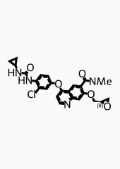 CNC(=O)c1cc2c(Oc3ccc(NC(=O)NC4CC4)c(Cl)c3)ccnc2cc1OC[C@H]1CO1